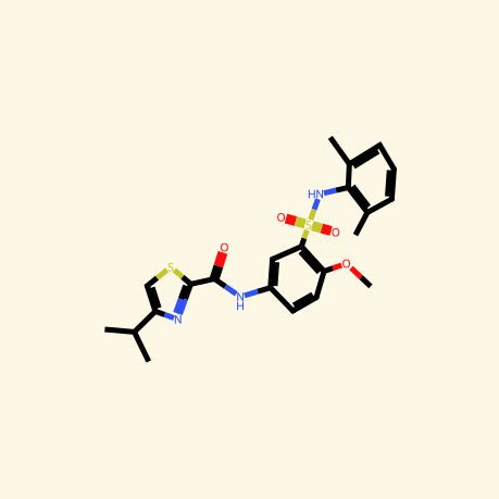 COc1ccc(NC(=O)c2nc(C(C)C)cs2)cc1S(=O)(=O)Nc1c(C)cccc1C